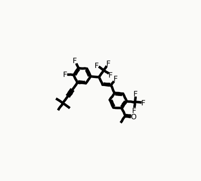 CC(=O)c1ccc(/C(F)=C/C(c2cc(F)c(F)c(C#CC(C)(C)C)c2)C(F)(F)F)cc1C(F)(F)F